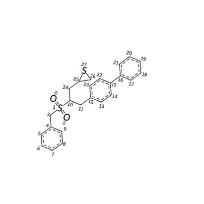 O=S(=O)(Cc1ccccc1)C(Cc1ccc(-c2ccccc2)cc1)CC1CS1